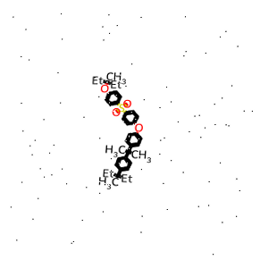 CCC(C)(CC)Oc1ccc(S(=O)(=O)c2ccc(Oc3ccc(C(C)(C)c4ccc(C(C)(CC)CC)cc4)cc3)cc2)cc1